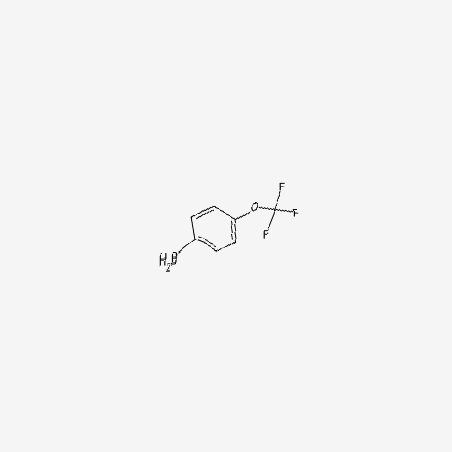 Bc1ccc(OC(F)(F)F)cc1